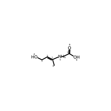 C/C(=C\CO)NCC(=O)O